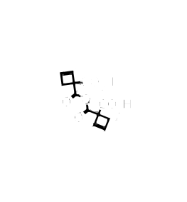 O=C(O)C1(C(=O)OC(=O)C2(C(=O)O)C=CC2)C=CC1